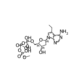 CCc1cn([C@H]2C[C@@H](O)[C@@H](COP(=O)(O)OP(=O)(O)OP(=O)(O)OC)O2)c2ncnc(N)c12